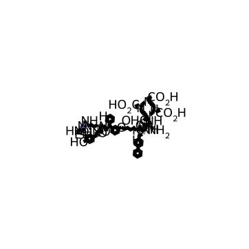 CCNC(=O)/N=C(/N)NCCC[C@@H](NC(=O)[C@@H](c1ccccc1)c1cccc(OCCCCNC(=O)[C@@H](CCc2ccc(-c3ccccc3)cc2)NC(=O)[C@@H](CN)NC(C=O)N2CCN(CC(=O)O)CCN(CC(=O)O)CCN(CC(=O)O)CC2)c1)C(=O)NCc1ccc(O)cc1